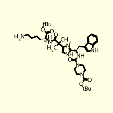 CC(C)(C)OC(=O)[C@@H](CCCCN)NC(=O)C(C)(C)c1c[nH]c([C@@H](Cc2c[nH]c3ccccc23)NC(=O)N2CCN(C(=O)OC(C)(C)C)CC2)n1